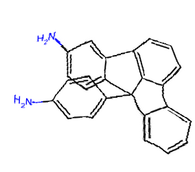 Nc1ccc(C23c4ccccc4-c4cccc(c42)-c2cc(N)ccc23)cc1